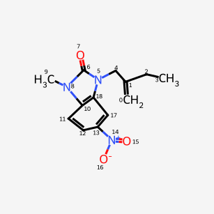 C=C(CC)Cn1c(=O)n(C)c2ccc([N+](=O)[O-])cc21